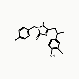 Cc1ccc(Cn2[nH]c(CC(C)c3ccc(O)c(C)c3)nc2=O)cc1